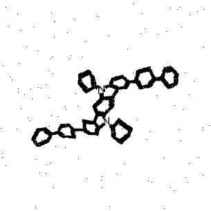 c1ccc(-c2ccc(-c3ccc4c(c3)c3cc5c(cc3n4-c3ccccc3)c3cc(-c4ccc(-c6ccccc6)cc4)ccc3n5-c3ccccc3)cc2)cc1